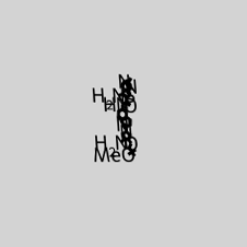 COC(C)(C)COC1CN(c2ccc3c(n2)CCC(NC(=O)c2sc4nc(C)ncc4c2N)C3)CC1N